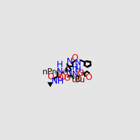 CCC[C@H](NC(=O)[C@@H]1C[C@@]2(CN=C(C(=O)NCc3ccccc3)C2)CN1C(=O)[C@@H](NC(=O)O[C@H]1CCOC1)C(C)(C)C)C(=O)C(=O)NC1CC1